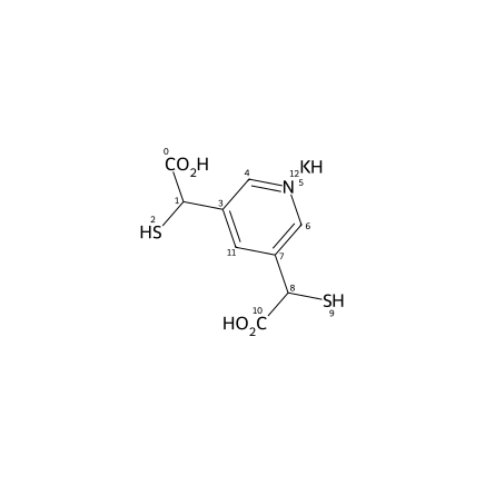 O=C(O)C(S)c1cncc(C(S)C(=O)O)c1.[KH]